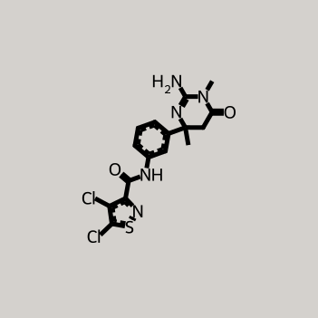 CN1C(=O)CC(C)(c2cccc(NC(=O)c3nsc(Cl)c3Cl)c2)N=C1N